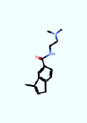 CC1=CCc2ccc(C(=O)NCCN(C)C)cc21